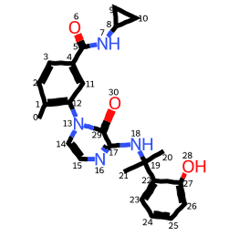 Cc1ccc(C(=O)NC2CC2)cc1-n1ccnc(NC(C)(C)c2ccccc2O)c1=O